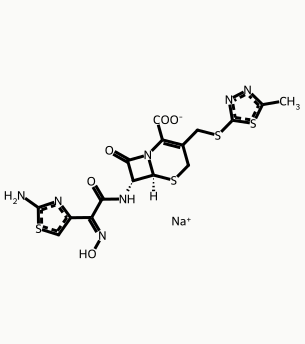 Cc1nnc(SCC2=C(C(=O)[O-])N3C(=O)[C@@H](NC(=O)C(=NO)c4csc(N)n4)[C@@H]3SC2)s1.[Na+]